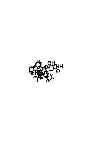 O=C1NCCC1CC(NC(=O)C(CC1CCCCC1)NC(=O)C1(NC(=O)C(F)(F)F)c2ccccc2-c2ccccc21)C(=O)CO